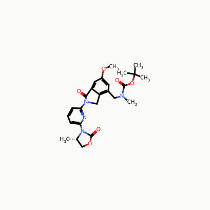 COc1cc(CN(C)C(=O)OC(C)(C)C)c2c(c1)C(=O)N(c1cccc(N3C(=O)OC[C@@H]3C)n1)C2